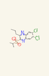 CCCc1nc2cc(Cl)c(Cl)cc2nc1S(=O)(=O)C(C)C